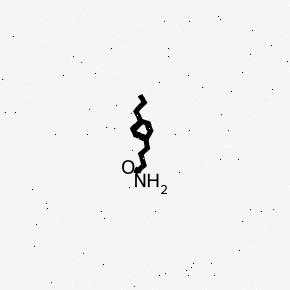 CCCc1ccc(CCCC(N)=O)cc1